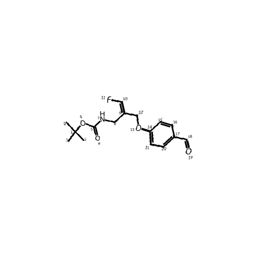 CC(C)(C)OC(=O)NC/C(=C\F)COc1ccc(C=O)cc1